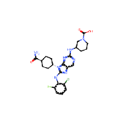 NC(=O)[C@H]1CC[C@H](n2c(Nc3c(F)cccc3Cl)nc3cnc(NC4CCCN(C(=O)O)C4)nc32)CC1